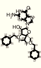 Nc1nc2c(ncn2[C@@H]2O[C@@](COCc3ccccc3)(C(F)F)[C@@H](OCc3ccccc3)[C@H]2O)c(=O)[nH]1